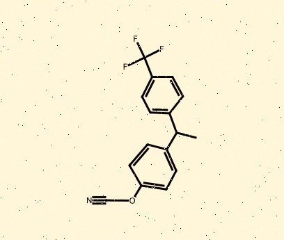 CC(c1ccc(OC#N)cc1)c1ccc(C(F)(F)F)cc1